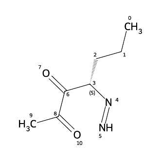 CCC[C@H](N=N)C(=O)C(C)=O